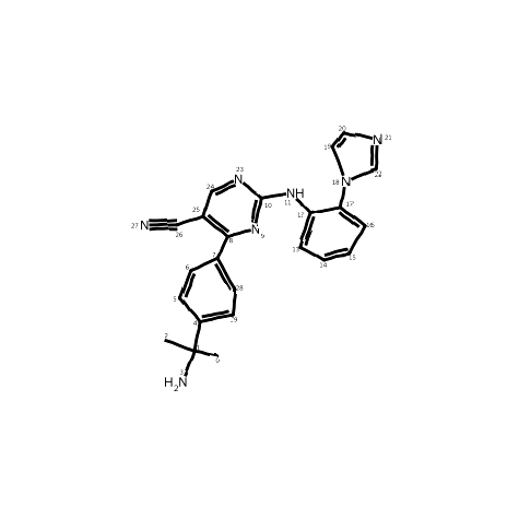 CC(C)(N)c1ccc(-c2nc(Nc3ccccc3-n3ccnc3)ncc2C#N)cc1